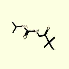 CC(C)NC(=O)NCC(=O)C(C)(C)C